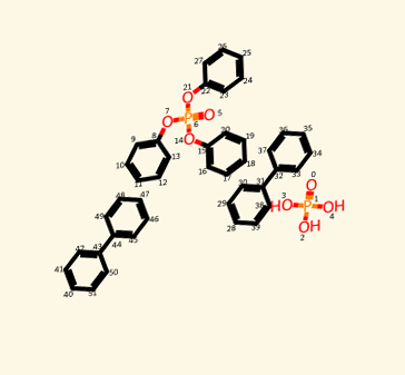 O=P(O)(O)O.O=P(Oc1ccccc1)(Oc1ccccc1)Oc1ccccc1.c1ccc(-c2ccccc2)cc1.c1ccc(-c2ccccc2)cc1